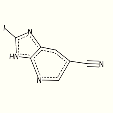 N#Cc1cnc2[nH]c(I)nc2c1